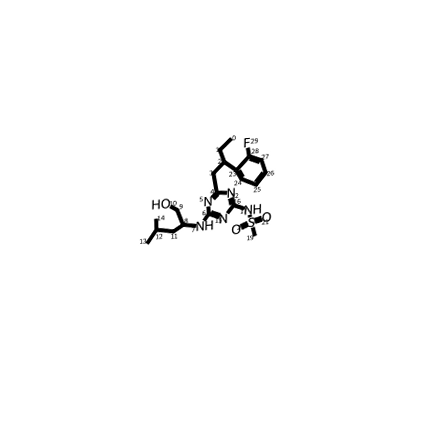 CCC(Cc1nc(NC(CO)CC(C)C)nc(NS(C)(=O)=O)n1)c1ccccc1F